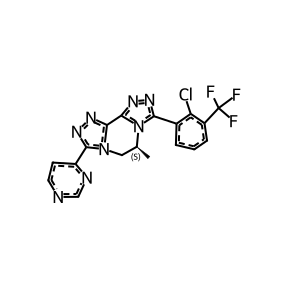 C[C@H]1Cn2c(-c3ccncn3)nnc2-c2nnc(-c3cccc(C(F)(F)F)c3Cl)n21